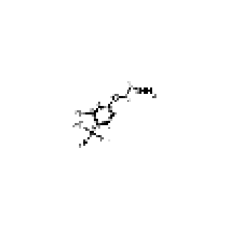 NCCOc1ccc(C(F)(F)F)c(F)c1